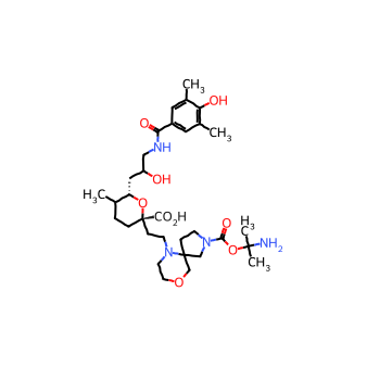 Cc1cc(C(=O)NCC(O)C[C@@H]2O[C@@](CCN3CCOCC34CCN(C(=O)OC(C)(C)N)C4)(C(=O)O)CCC2C)cc(C)c1O